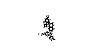 Cn1cc(S(=O)(=O)N(CC(N)=O)c2ccc3c(c2)C(C2(c4ccc(Cl)cc4)CCC2)NCC3)cn1